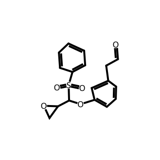 O=CCc1cccc(OC(C2CO2)S(=O)(=O)c2ccccc2)c1